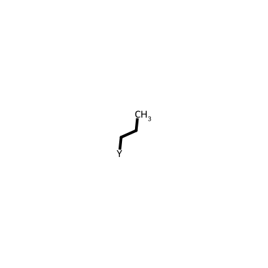 CC[CH2][Y]